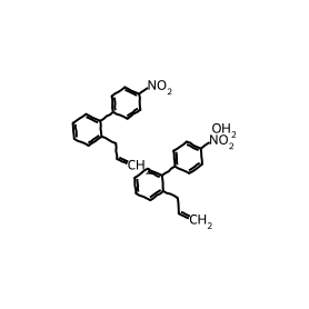 C=CCc1ccccc1-c1ccc([N+](=O)[O-])cc1.C=CCc1ccccc1-c1ccc([N+](=O)[O-])cc1.O